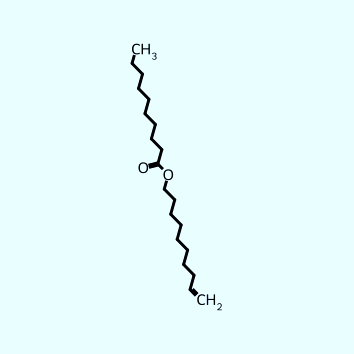 C=CCCCCCCCCOC(=O)CCCCCCCCC